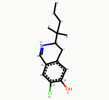 CCCC(C)(C)C1Cc2cc(O)c(Cl)cc2C=N1